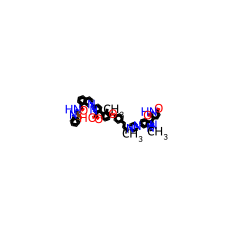 Cc1c(OC2CCC(CC[C@H](C)N3CCN(c4ccc5c(C6CCC(=O)NC6=O)nn(C)c5c4)CC3)CC2)cccc1-c1ccc(N2CCc3cccc(C(=O)Nc4nc5ccccc5s4)c3C2)nc1C(=O)O